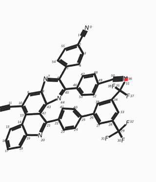 N#Cc1ccc(-c2nc3cc(C#N)c4c5ccccc5nc(-c5ccc(-c6cc(C(F)(F)F)cc(C(F)(F)F)c6)cc5)c4c3nc2-c2ccc(C#N)cc2)cc1